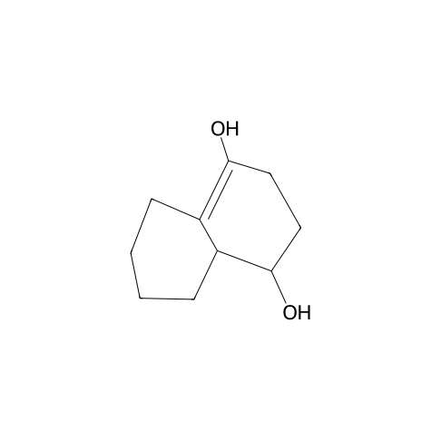 OC1=C2CCCCC2C(O)CC1